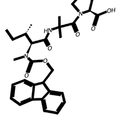 CC[C@H](C)[C@@H](C(=O)NC(C)(C)C(=O)N1CCC[C@H]1C(=O)O)N(C)C(=O)OCC1c2ccccc2-c2ccccc21